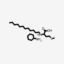 CCCCCCCCCCCCNC(CCSC)C(=O)O.NC1CCCCC1